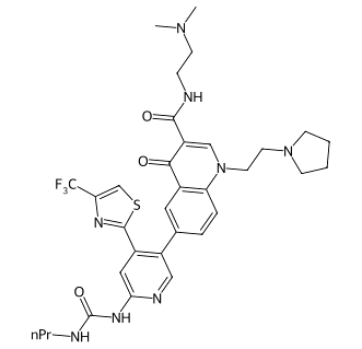 CCCNC(=O)Nc1cc(-c2nc(C(F)(F)F)cs2)c(-c2ccc3c(c2)c(=O)c(C(=O)NCCN(C)C)cn3CCN2CCCC2)cn1